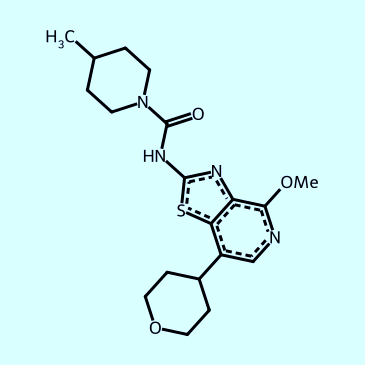 COc1ncc(C2CCOCC2)c2sc(NC(=O)N3CCC(C)CC3)nc12